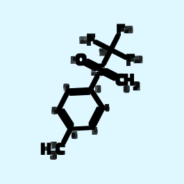 C=S(=O)(c1ccc(C)cc1)C(F)(F)F